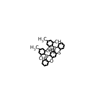 Cc1cc(C)c(B2c3ccccc3Oc3cc4c(cc32)B(c2c(C)cc(C)cc2C)c2ccccc2S4)c(C)c1